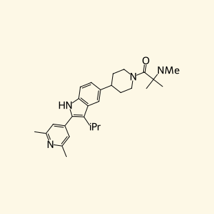 CNC(C)(C)C(=O)N1CCC(c2ccc3[nH]c(-c4cc(C)nc(C)c4)c(C(C)C)c3c2)CC1